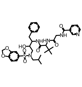 CC(C)CN(CC(O)C(Cc1ccccc1)NC(=O)C(NC(=O)CNC(=O)c1cccnc1)C(C)(C)C)S(=O)(=O)c1ccc2c(c1)OCO2